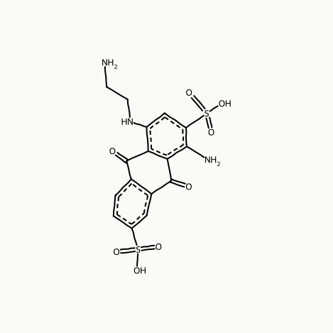 NCCNc1cc(S(=O)(=O)O)c(N)c2c1C(=O)c1ccc(S(=O)(=O)O)cc1C2=O